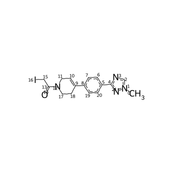 Cn1cnc(-c2ccc(C3=CCN(C(=O)CI)CC3)cc2)n1